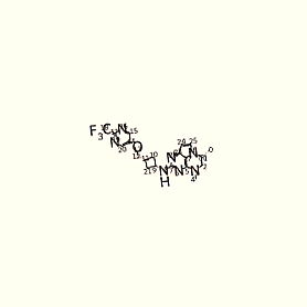 C[C@@H]1CN(C)c2nc(N[C@H]3C[C@@H](COc4cnc(C(F)(F)F)nc4)C3)nc3ccn1c23